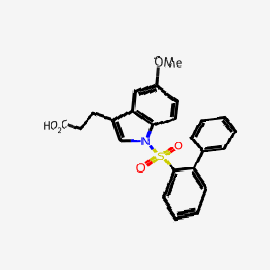 COc1ccc2c(c1)c(CCC(=O)O)cn2S(=O)(=O)c1ccccc1-c1ccccc1